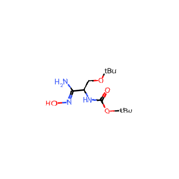 CC(C)(C)OCC(NC(=O)OC(C)(C)C)/C(N)=N/O